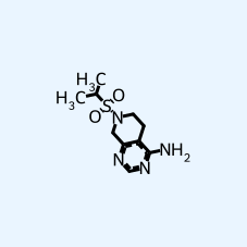 CC(C)S(=O)(=O)N1CCc2c(N)ncnc2C1